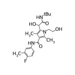 Cc1cc(NC(=O)c2c(C)c(C(O)C(=O)NC(C)(C)C)n(CCO)c2C)ccc1F